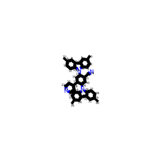 Cc1ccc2c(c1)c1cc(C)ccc1n2-c1cc(-c2ccncc2)c(-n2c3ccc(C)cc3c3cc(C)ccc32)cc1C#N